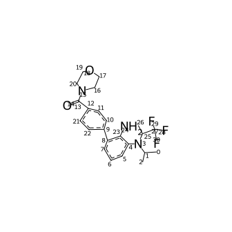 CC(C)N(c1cccc(-c2ccc(C(=O)N3CCOCC3)cc2)c1N)C(C)C(F)(F)F